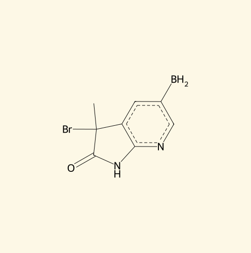 Bc1cnc2c(c1)C(C)(Br)C(=O)N2